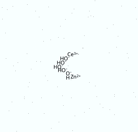 [Ce+3].[OH-].[OH-].[OH-].[OH-].[OH-].[Zn+2]